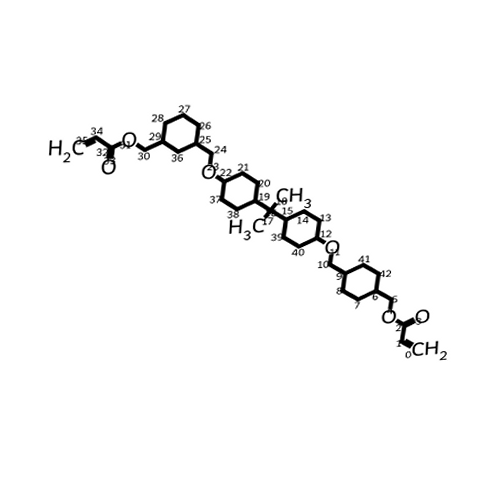 C=CC(=O)OCC1CCC(COC2CCC(C(C)(C)C3CCC(OCC4CCCC(COC(=O)C=C)C4)CC3)CC2)CC1